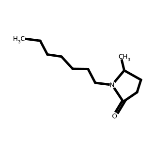 CCCCCCCN1C(=O)CCC1C